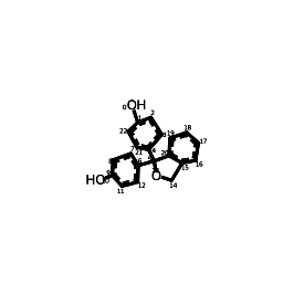 Oc1ccc(C2(c3ccc(O)cc3)OCc3ccccc32)cc1